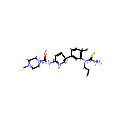 CCCN(C(N)=S)c1cc(-c2ccc(NC(=O)N3CCN(C)CC3)nc2)ccc1C